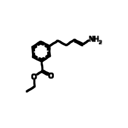 CCOC(=O)c1cccc(CCC=CN)c1